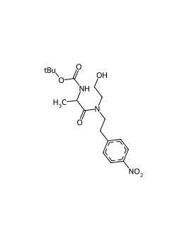 CC(NC(=O)OC(C)(C)C)C(=O)N(CCO)CCc1ccc([N+](=O)[O-])cc1